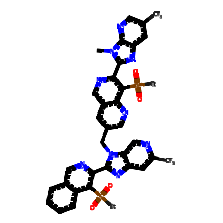 CCS(=O)(=O)c1c(-c2nc3cc(C(F)(F)F)ncc3n2Cc2cnc3c(S(=O)(=O)CC)c(-c4nc5cc(C(F)(F)F)cnc5n4C)ncc3c2)ncc2ccccc12